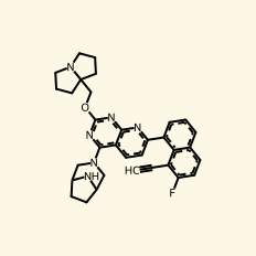 C#Cc1c(F)ccc2cccc(-c3ccc4c(N5CC6CCC(C5)N6)nc(OCC56CCCN5CCC6)nc4n3)c12